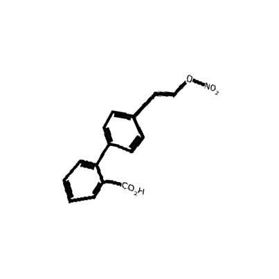 O=C(O)c1ccccc1-c1ccc(CCO[N+](=O)[O-])cc1